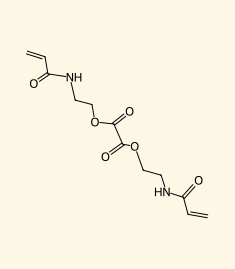 C=CC(=O)NCCOC(=O)C(=O)OCCNC(=O)C=C